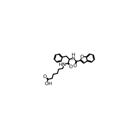 O=C(O)CCCCCNC(=O)C(Cc1ccccc1)NC(=O)c1cc2ccccc2o1